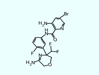 NC1=NC(c2cc(NC(=O)c3ncc(Br)cc3N)ccc2F)(C(F)F)COC1